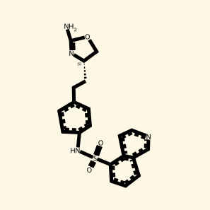 NC1=N[C@@H](CCc2ccc(NS(=O)(=O)c3cccc4cnccc34)cc2)CO1